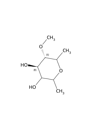 CO[C@@H]1C(C)OC(C)C(O)[C@H]1O